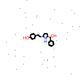 Oc1ccc(CC[C@H]2CC[C@@H](C(O)c3ccccc3)N2)cc1